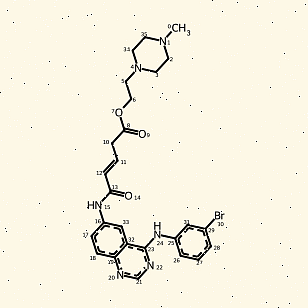 CN1CCN(CCOC(=O)CC=CC(=O)Nc2ccc3ncnc(Nc4cccc(Br)c4)c3c2)CC1